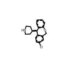 Clc1ccc2c(c1)COc1ccccc1C2=C1CCNCC1